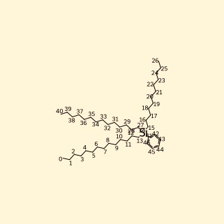 CCCCCCCCCCCCCC[Si](CCCCCCCCCCCC)(CCCCCCCCCCCCCC)c1ccccc1